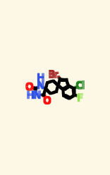 O=C1NC(=O)C2(CCC3(CC2)C(Br)=Cc2c3ccc(F)c2Cl)N1